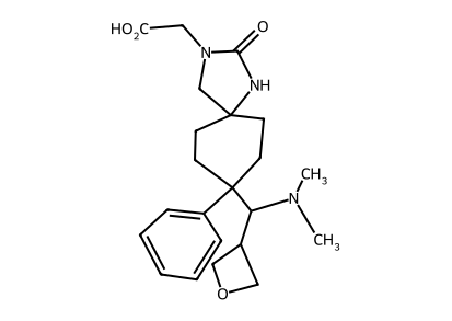 CN(C)C(C1COC1)C1(c2ccccc2)CCC2(CC1)CN(CC(=O)O)C(=O)N2